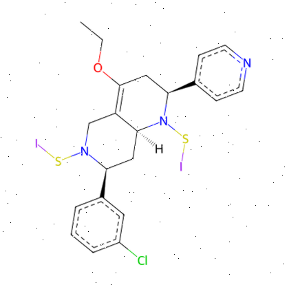 CCOC1=C2CN(SI)[C@H](c3cccc(Cl)c3)C[C@@H]2N(SI)[C@H](c2ccncc2)C1